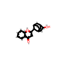 O=c1cc(C2C3CC4CC2C(C3)C4O)oc2ccccc12